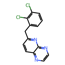 Clc1cccc(Cc2ccc3nccnc3n2)c1Cl